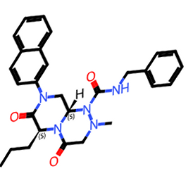 CCC[C@H]1C(=O)N(c2ccc3ccccc3c2)C[C@H]2N1C(=O)CN(C)N2C(=O)NCc1ccccc1